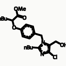 CCCCc1nc(Cl)c(CO)n1Cc1ccc(OC(CCCC)C(=O)OC)cc1